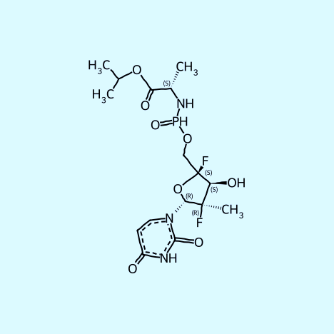 CC(C)OC(=O)[C@H](C)N[PH](=O)OC[C@@]1(F)O[C@@H](n2ccc(=O)[nH]c2=O)[C@](C)(F)[C@@H]1O